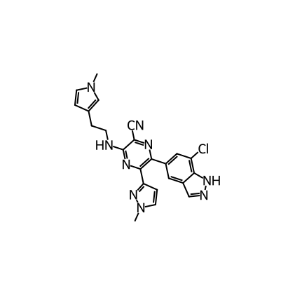 Cn1ccc(CCNc2nc(-c3ccn(C)n3)c(-c3cc(Cl)c4[nH]ncc4c3)nc2C#N)c1